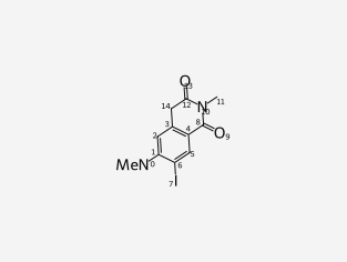 CNc1cc2c(cc1I)C(=O)N(C)C(=O)C2